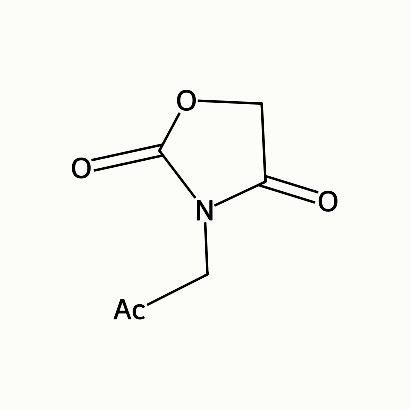 CC(=O)CN1C(=O)COC1=O